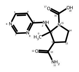 CC1(Nc2ccncn2)C(C(N)=O)CCN1C(=O)O